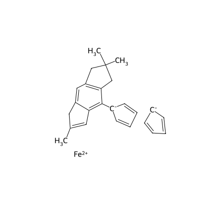 CC1=Cc2c(cc3c(c2-[c-]2cccc2)CC(C)(C)C3)C1.[Fe+2].c1cc[cH-]c1